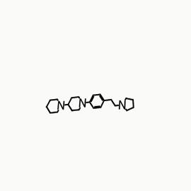 c1cc(N2CCC(N3CCCCC3)CC2)ccc1CCN1CCCC1